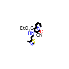 CCOC(=O)c1c(NCCc2scnc2C)c(C#N)c(=O)n2ccccc12